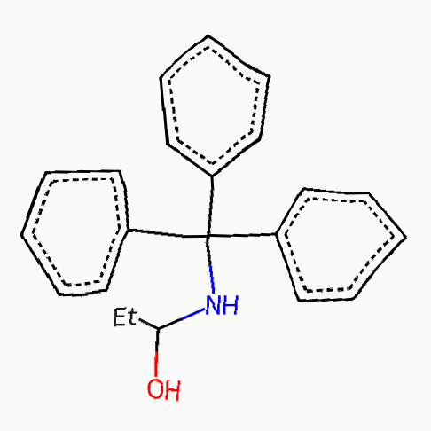 CCC(O)NC(c1ccccc1)(c1ccccc1)c1ccccc1